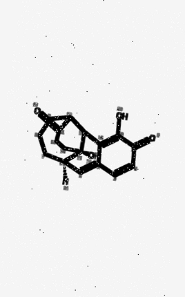 O=C1C=CC2=C[C@H]3CCCC4C(=O)CC[C@]3(O)C4C2=C1O